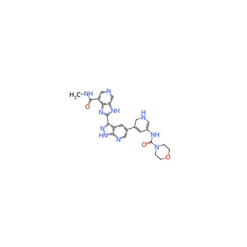 CNC(=O)c1cncc2[nH]c(-c3n[nH]c4ncc(C5=CC(NC(=O)N6CCOCC6)=CNC5)cc34)nc12